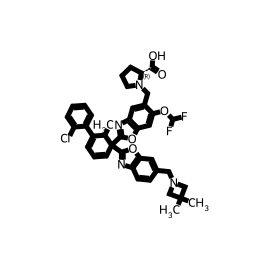 CC1C(c2ccccc2Cl)=CC=CC1(c1nc2ccc(CN3CC(C)(C)C3)cc2o1)c1nc2cc(CN3CCC[C@@H]3C(=O)O)c(OC(F)F)cc2o1